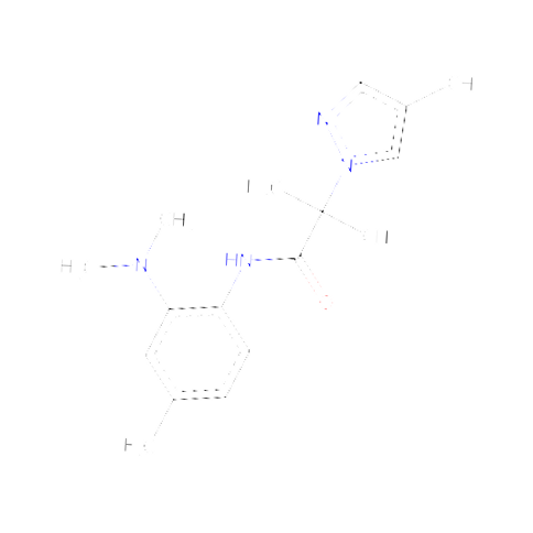 Cc1cnn(C(C)(C)C(=O)Nc2ccc(C(F)(F)F)cc2N(C)C)c1